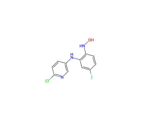 ONc1ccc(F)cc1Nc1ccc(Cl)nc1